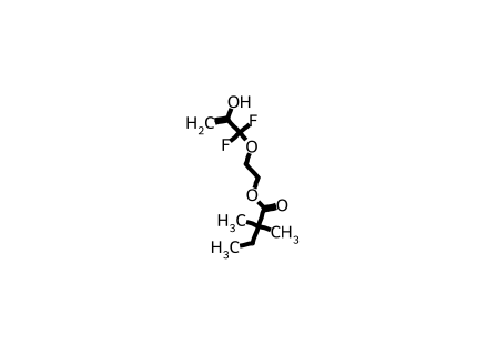 C=C(O)C(F)(F)OCCOC(=O)C(C)(C)CC